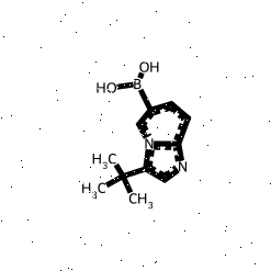 CC(C)(C)c1cnc2ccc(B(O)O)cn12